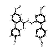 COc1ccc(-c2ccc(Cl)cc2)c(COC(Cl)c2cc(OC)ccc2-c2ccc(Cl)cc2)c1